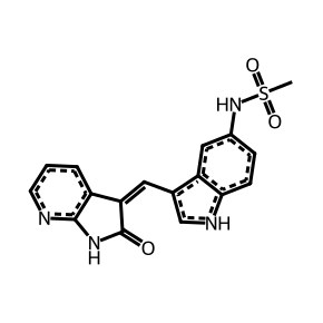 CS(=O)(=O)Nc1ccc2[nH]cc(C=C3C(=O)Nc4ncccc43)c2c1